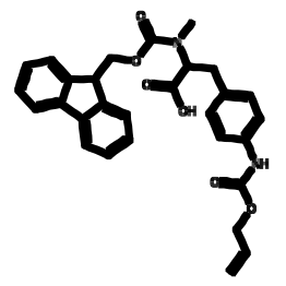 C=CCOC(=O)Nc1ccc(CC(C(=O)O)N(C)C(=O)OCC2c3ccccc3-c3ccccc32)cc1